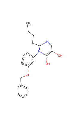 CCCCC1N=CC(O)=C(O)N1c1cccc(OCc2ccccc2)c1